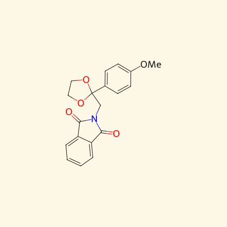 COc1ccc(C2(CN3C(=O)c4ccccc4C3=O)OCCO2)cc1